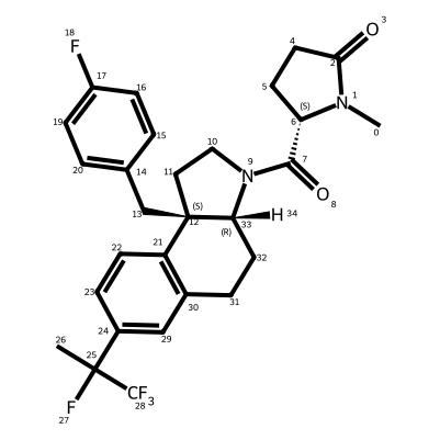 CN1C(=O)CC[C@H]1C(=O)N1CC[C@@]2(Cc3ccc(F)cc3)c3ccc(C(C)(F)C(F)(F)F)cc3CC[C@@H]12